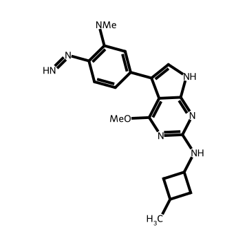 CNc1cc(-c2c[nH]c3nc(NC4CC(C)C4)nc(OC)c23)ccc1N=N